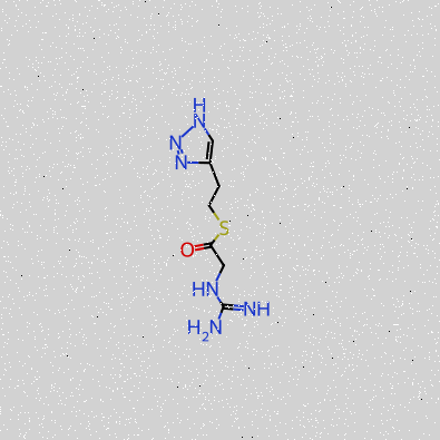 N=C(N)NCC(=O)SCCc1c[nH]nn1